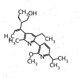 C/C=C(\c1cc(CC)c(-c2ccc(C(C)C)nc2OC)nc1C)[C@@H](CC)CO